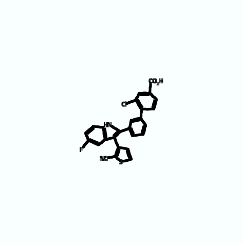 N#Cc1sccc1-c1c(-c2cccc(-c3ccc(C(=O)O)cc3Cl)c2)[nH]c2ccc(F)cc12